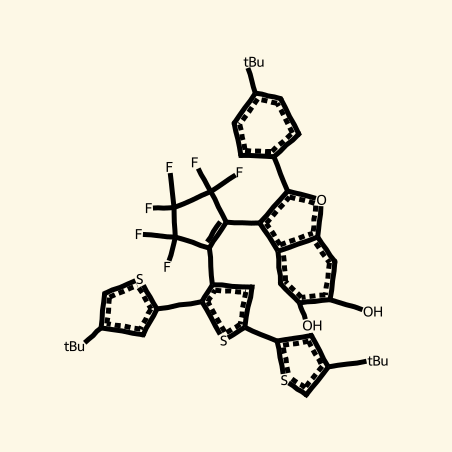 CC(C)(C)c1ccc(-c2oc3cc(O)c(O)cc3c2C2=C(c3cc(-c4cc(C(C)(C)C)cs4)sc3-c3cc(C(C)(C)C)cs3)C(F)(F)C(F)(F)C2(F)F)cc1